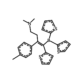 Cc1ccc(/C(CCN(C)C)=C(/B(c2cccs2)c2cccs2)c2cccs2)cc1